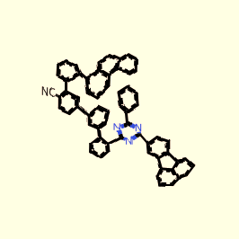 N#Cc1ccc(-c2cccc(-c3ccccc3-c3nc(-c4ccccc4)nc(-c4ccc5c(c4)-c4cccc6cccc-5c46)n3)c2)cc1-c1ccccc1-c1cccc2c1ccc1ccccc12